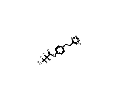 O=C(Nc1ccc(CCc2nnn[nH]2)cc1)C(F)(F)C(F)(F)C(F)(F)F